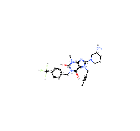 CC#CCn1c(N2CCCC(N)C2)nc2c1c(=O)n(Cc1ccc(C(F)(F)F)cc1)c(=O)n2C